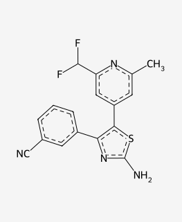 Cc1cc(-c2sc(N)nc2-c2cccc(C#N)c2)cc(C(F)F)n1